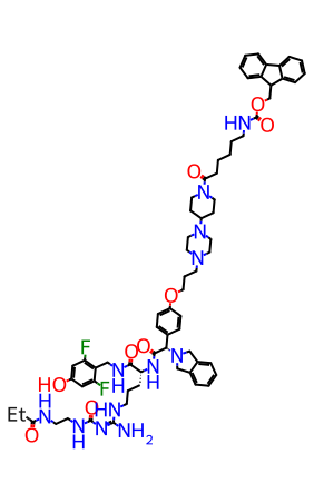 CCC(=O)NCCNC(=O)/N=C(/N)NCCC[C@@H](NC(=O)[C@H](c1ccc(OCCCN2CCN(C3CCN(C(=O)CCCCCNC(=O)OCC4c5ccccc5-c5ccccc54)CC3)CC2)cc1)N1Cc2ccccc2C1)C(=O)NCc1c(F)cc(O)cc1F